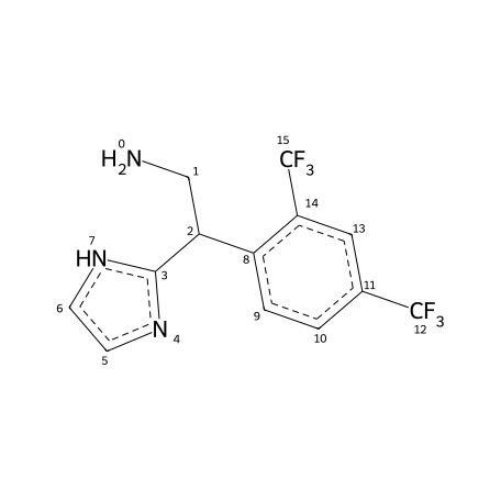 NCC(c1ncc[nH]1)c1ccc(C(F)(F)F)cc1C(F)(F)F